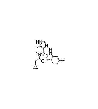 O=C(CC1CC1)N1CCc2[nH]cnc2[C@H]1c1nc2ccc(F)cc2[nH]1